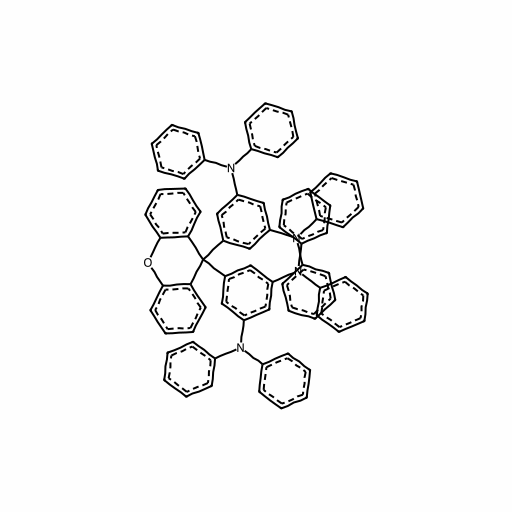 c1ccc(N(c2ccccc2)c2cc(N(c3ccccc3)c3ccccc3)cc(C3(c4cc(N(c5ccccc5)c5ccccc5)cc(N(c5ccccc5)c5ccccc5)c4)c4ccccc4Oc4ccccc43)c2)cc1